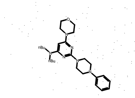 CCCCN(CCCC)c1cc(N2CCOCC2)nc(N2CCN(c3ccccc3)CC2)n1